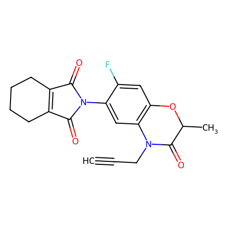 C#CCN1C(=O)C(C)Oc2cc(F)c(N3C(=O)C4=C(CCCC4)C3=O)cc21